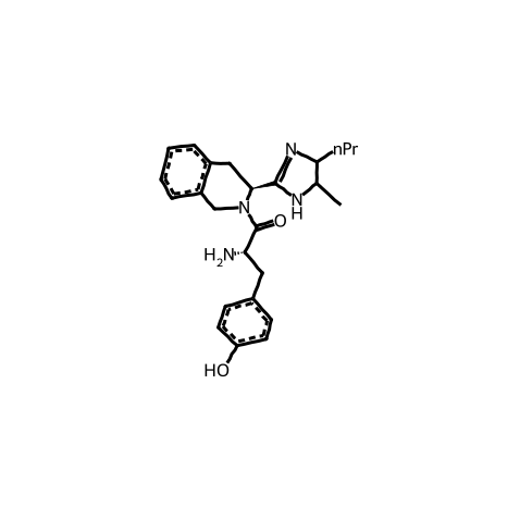 CCCC1N=C([C@@H]2Cc3ccccc3CN2C(=O)[C@@H](N)Cc2ccc(O)cc2)NC1C